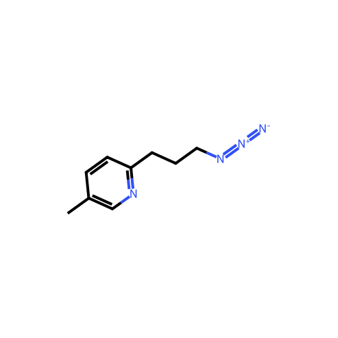 Cc1ccc(CCCN=[N+]=[N-])nc1